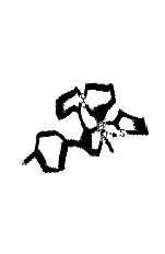 Cc1ccc(C2=C(c3cccs3)[B-](c3cccs3)(c3cccs3)[N+](C)(C)C2)cc1